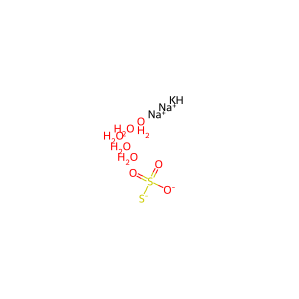 O.O.O.O.O.O=S(=O)([O-])[S-].[KH].[Na+].[Na+]